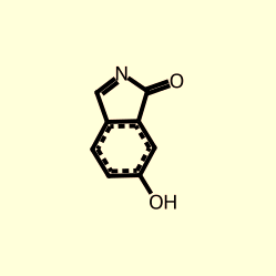 O=C1N=Cc2ccc(O)cc21